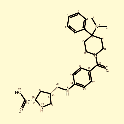 CN(C)C1(c2ccccc2)CCN(C(=O)c2ccc(NC[C@@H]3CN[C@H](C(=O)O)C3)cc2)CC1